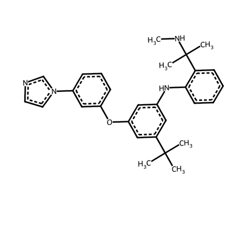 CNC(C)(C)c1ccccc1Nc1cc(Oc2cccc(-n3ccnc3)c2)cc(C(C)(C)C)c1